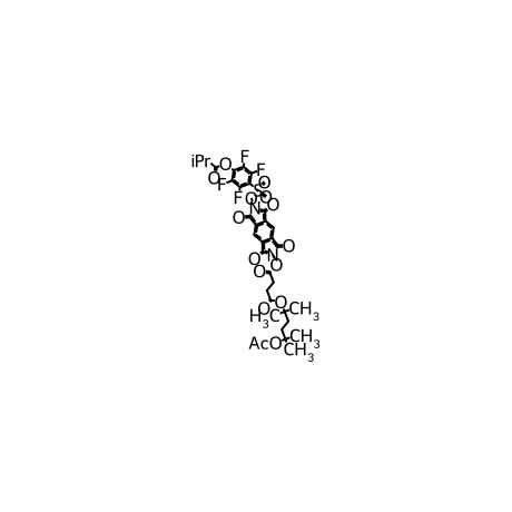 CC(=O)OC(C)(C)CCC(C)(C)OC(=O)CCC(=O)On1c(=O)c2cc3c(=O)n(OS(=O)(=O)c4c(F)c(F)c(OC(=O)C(C)C)c(F)c4F)c(=O)c3cc2c1=O